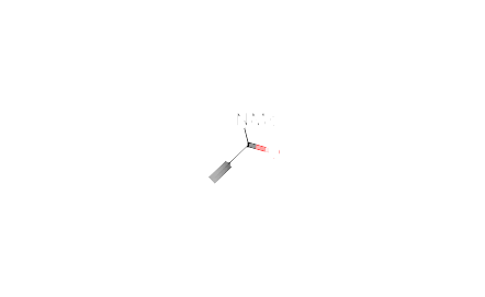 [C]#CC(=O)NC